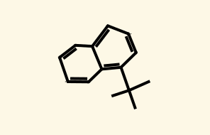 CC(C)(C)c1c[c]cc2cc[c]cc12